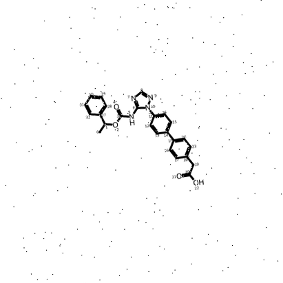 CC(OC(=O)Nc1ncnn1-c1ccc(-c2ccc(CC(=O)O)cc2)cc1)c1ccccc1